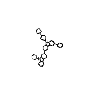 C1=CCCC(C2=CC=C(n3c4c(c5cc(-c6ccccc6)ccc53)C=C(C3C=Cc5c(n(C6CC=CCC6)c6ccccc56)C3)CC4)CC2)=C1